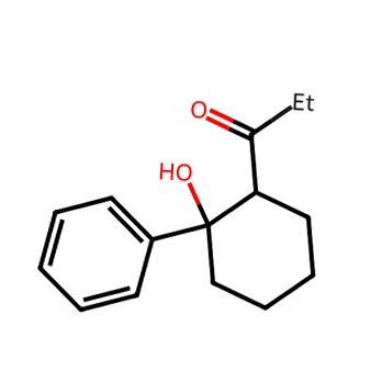 CCC(=O)C1CCCCC1(O)c1ccccc1